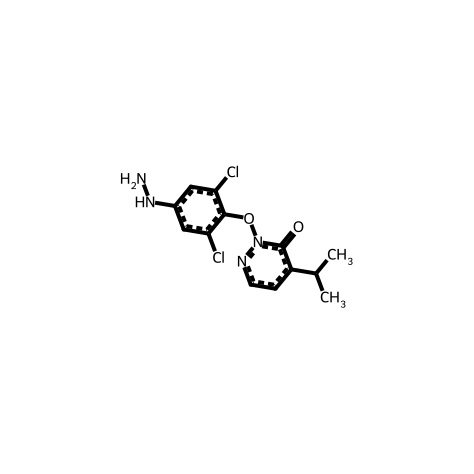 CC(C)c1ccnn(Oc2c(Cl)cc(NN)cc2Cl)c1=O